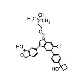 C[Si](C)(C)CCOCn1cc(-c2ccc3c(c2)B(O)OC3)c2cc(-c3ccc(C4(O)CCC4)cc3)c(Cl)cc21